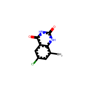 Bc1cc(Cl)cc2c(=O)[nH]c(=O)[nH]c12